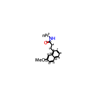 CCCNC(=O)CCc1cccc2ccc(OC)cc12